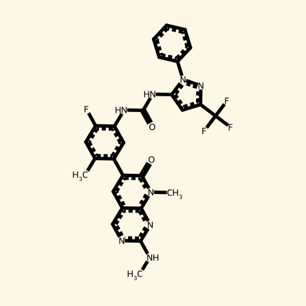 CNc1ncc2cc(-c3cc(NC(=O)Nc4cc(C(F)(F)F)nn4-c4ccccc4)c(F)cc3C)c(=O)n(C)c2n1